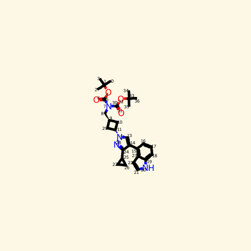 CC(C)(C)OC(=O)N(C[C@H]1C[C@H](n2cc(-c3cccc4[nH]ccc34)c(C3CC3)n2)C1)C(=O)OC(C)(C)C